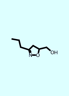 CCCC1=NOC(CO)C1